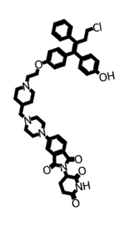 O=C1CCC(N2C(=O)c3ccc(N4CCN(CC5CCN(CCOc6ccc(C(=C(CCCl)c7ccccc7)c7ccc(O)cc7)cc6)CC5)CC4)cc3C2=O)C(=O)N1